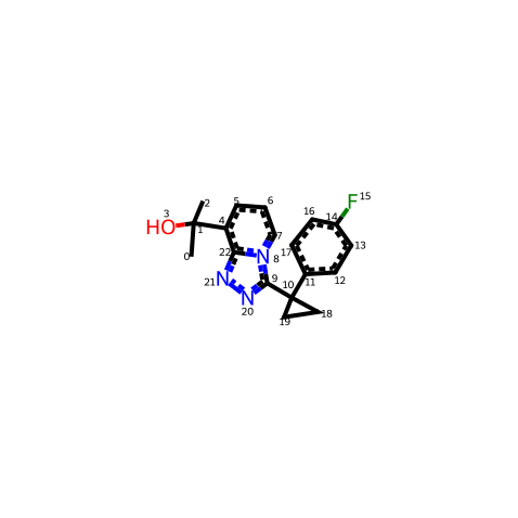 CC(C)(O)c1cccn2c(C3(c4ccc(F)cc4)CC3)nnc12